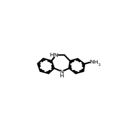 Nc1ccc2c(c1)CNc1ccccc1N2